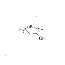 CCCC.NCCO